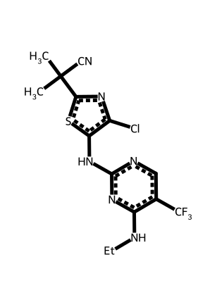 CCNc1nc(Nc2sc(C(C)(C)C#N)nc2Cl)ncc1C(F)(F)F